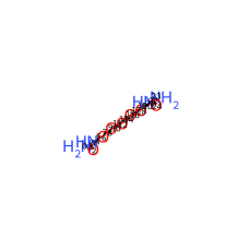 NC(=O)NCCOCCOCCOCCOCCOCCNC(N)=O